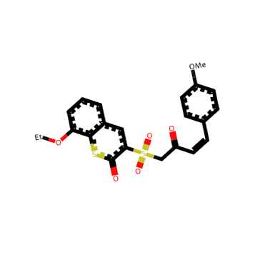 CCOc1cccc2cc(S(=O)(=O)CC(=O)/C=C\c3ccc(OC)cc3)c(=O)sc12